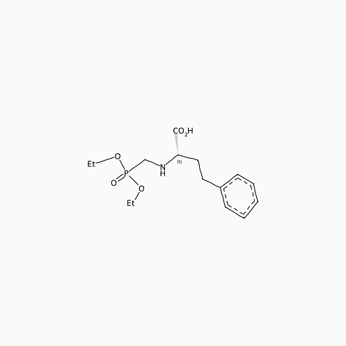 CCOP(=O)(CN[C@@H](CCc1ccccc1)C(=O)O)OCC